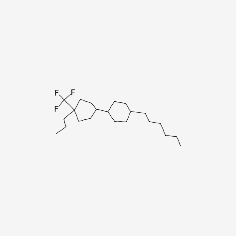 CCCCCCC1CCC(C2CCC(CCC)(C(F)(F)F)CC2)CC1